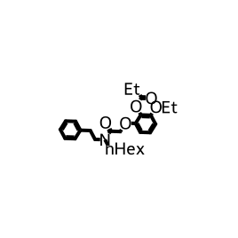 CCCCCCN(CCc1ccccc1)C(=O)COc1cccc(OCC)c1OC(=O)CC